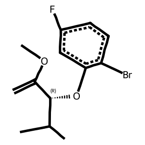 C=C(OC)[C@H](Oc1cc(F)ccc1Br)C(C)C